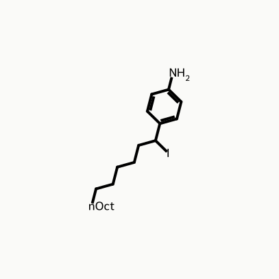 CCCCCCCCCCCCCC(I)c1ccc(N)cc1